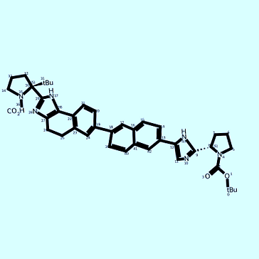 CC(C)(C)OC(=O)N1CCC[C@H]1c1ncc(-c2ccc3cc(-c4ccc5c(c4)CCc4nc([C@@]6(C(C)(C)C)CCCN6C(=O)O)[nH]c4-5)ccc3c2)[nH]1